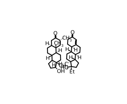 CC[C@]1(O)CC[C@H]2[C@@H]3CCC4=CC(=O)CC[C@@H]4[C@H]3CC[C@@]21C.C[C@@H]1C[C@@]2(C)[C@@H](CC[C@@H]3[C@@H]2CC[C@]2(C)[C@@H](O)CC[C@@H]32)CC1=O